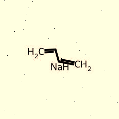 C=CC=C.[NaH]